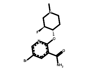 CN1CC[C@H](Oc2ncc(Br)cc2C(N)=O)[C@@H](F)C1